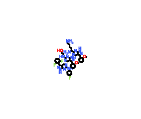 COc1ccccc1-c1n[nH]c2nc(C(N)CCCCN)ncc12.COc1ccccc1-c1n[nH]c2nc(NCCO)ncc12.Fc1ccc(Nc2ncc3c(-c4c(F)cccc4F)n[nH]c3n2)cc1